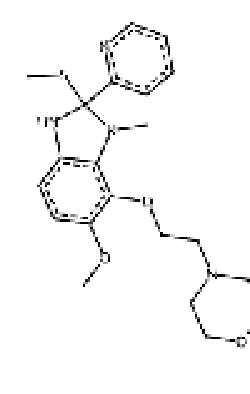 COc1ccc2c(c1OCCN1CCOCC1)N(C)C(SC)(c1ccccn1)N2